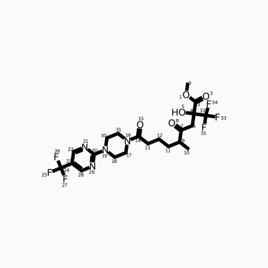 COC(=O)C(O)(CC(=O)C(C)CCCC(=O)N1CCN(c2ncc(C(F)(F)F)cn2)CC1)C(F)(F)F